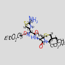 C=CC1=C(C(=O)O)N2C(=O)C(NC(=O)C(=NOCC(=O)OCC)c3csc(N)n3)[C@@H]2SC1